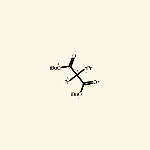 CCCC(C(=O)OCC(C)C)(C(=O)OCC(C)C)C(C)C